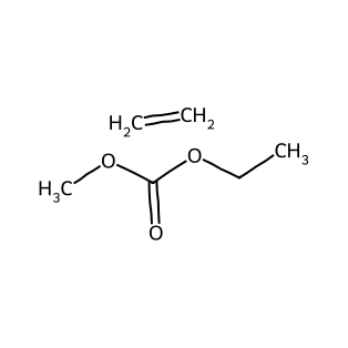 C=C.CCOC(=O)OC